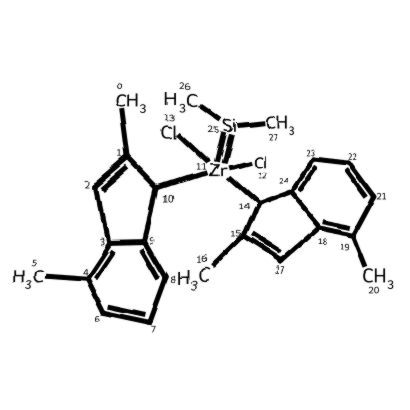 CC1=Cc2c(C)cccc2[CH]1[Zr]([Cl])([Cl])([CH]1C(C)=Cc2c(C)cccc21)=[Si](C)C